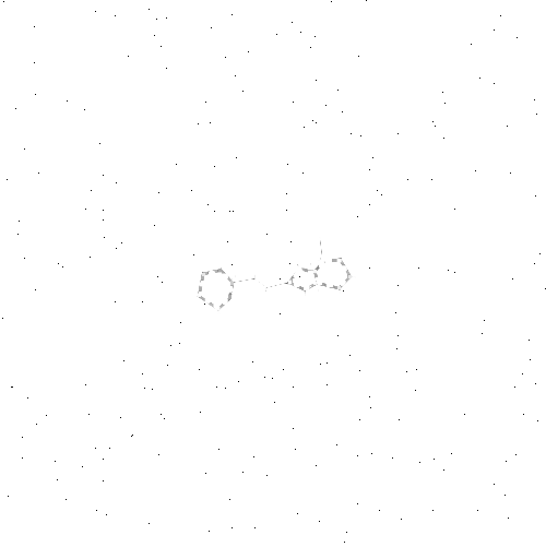 [O-][n+]1cccc2cc(CCc3ccccc3)[nH]c21